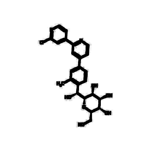 Cc1cc(-c2ccnc(-c3ccnc(Cl)c3)c2)ccc1[C@@H](O)[C@H]1O[C@H](CO)[C@@H](O)[C@H](O)[C@@H]1O